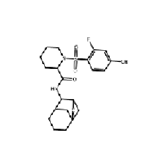 N#Cc1ccc(S(=O)(=O)N2CCCCC2C(=O)NC2C3CCCC4(C3)CC2C4)c(F)c1